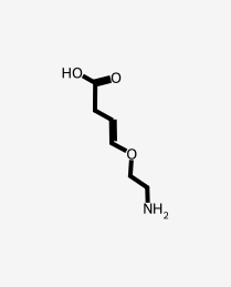 NCCO/C=C/CC(=O)O